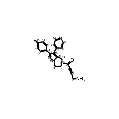 NCC#CC(=O)N1CCn2nc(-c3ccc(F)cc3)c(-c3ccncc3)c2C1